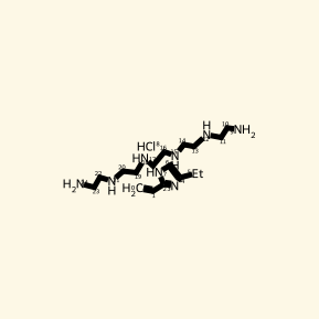 C=Cc1nc(CC)c[nH]1.Cl.NCCNCCNCCNCCNCCN